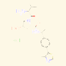 Cc1ncsc1-c1ccc(C(C)NC(=O)[C@@H]2C[C@@H](O)CN2C(=O)C(N)C(C)C)cc1.Cl